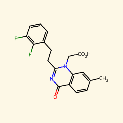 Cc1ccc2c(=O)nc(CCc3cccc(F)c3F)n(CC(=O)O)c2c1